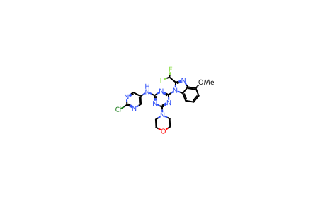 COc1cccc2c1nc(C(F)F)n2-c1nc(Nc2cnc(Cl)nc2)nc(N2CCOCC2)n1